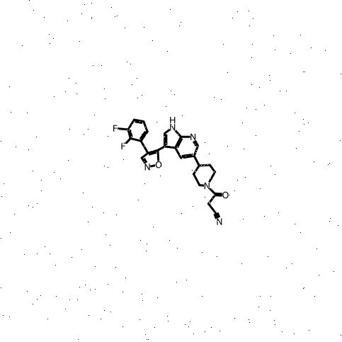 N#CCC(=O)N1CCC(c2cnc3[nH]cc(-c4oncc4-c4cccc(F)c4F)c3c2)CC1